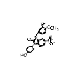 COc1ccc(Cn2c(=O)n([C@H]3CC[C@H](O)CC3)c3ccc([N+](=O)[O-])cc32)cc1Br